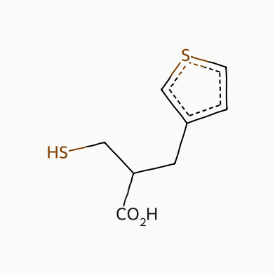 O=C(O)C(CS)Cc1ccsc1